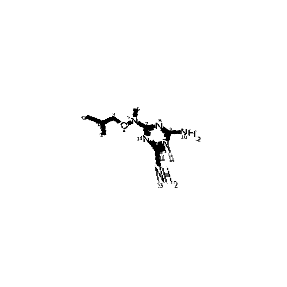 CC(C)CON(C)c1nc(N)nc(N)n1